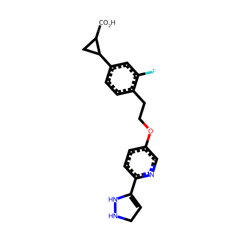 O=C(O)C1CC1c1ccc(CCOc2ccc(C3=CCNN3)nc2)c(F)c1